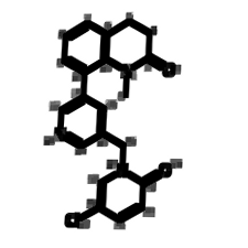 CN1C(=O)CCc2cccc(-c3cncc(Cn4cc(Cl)ccc4=O)c3)c21